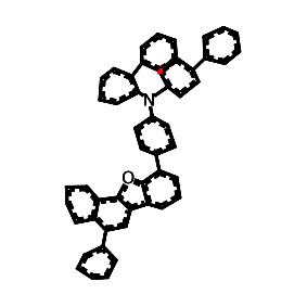 c1ccc(-c2ccc(N(c3ccc(-c4cccc5c4oc4c6ccccc6c(-c6ccccc6)cc54)cc3)c3ccccc3-c3ccccc3)cc2)cc1